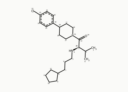 CC(C)[C@@H](NCCCC1CCCC1)C(=O)N1CCC(c2ccc(Cl)cc2)CC1